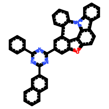 c1ccc(-c2nc(-c3ccc4ccccc4c3)nc(-c3cc4oc5ccc6c7ccccc7n7c8ccccc8c(c3)c4c5c67)n2)cc1